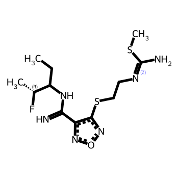 CCC(NC(=N)c1nonc1SCC/N=C(/N)SC)[C@@H](C)F